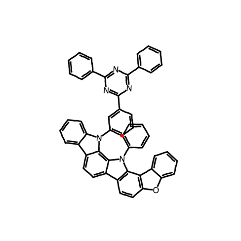 c1ccc(-c2nc(-c3ccccc3)nc(-c3cccc(-n4c5ccccc5c5ccc6c7ccc8oc9ccccc9c8c7n(-c7ccccc7)c6c54)c3)n2)cc1